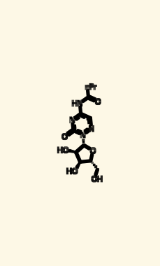 CCCC(=O)Nc1cnn([C@@H]2O[C@H](CO)[C@@H](O)[C@H]2O)c(=O)n1